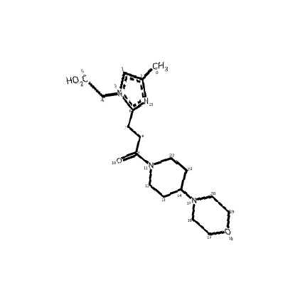 Cc1cn(CC(=O)O)c(CCC(=O)N2CCC(N3CCOCC3)CC2)n1